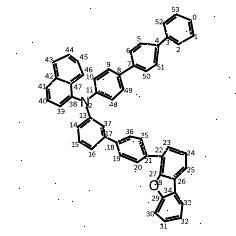 c1ccc(-c2ccc(-c3ccc(N(c4cccc(-c5ccc(-c6cccc7c6oc6ccccc67)cc5)c4)c4cccc5ccccc45)cc3)cc2)cc1